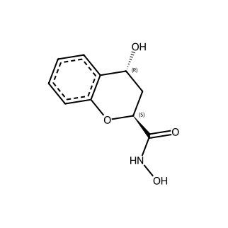 O=C(NO)[C@@H]1C[C@@H](O)c2ccccc2O1